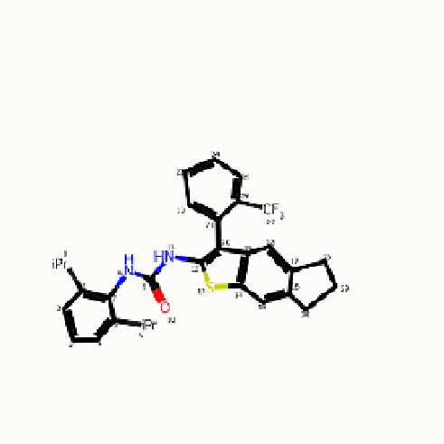 CC(C)c1cccc(C(C)C)c1NC(=O)Nc1sc2cc3c(cc2c1-c1ccccc1C(F)(F)F)CCC3